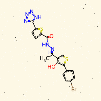 C/C(=N\NC(=O)c1ccc(-c2nnn[nH]2)s1)c1csc(-c2ccc(Br)cc2)c1O